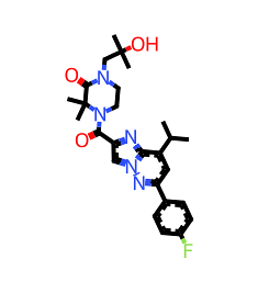 CC(C)c1cc(-c2ccc(F)cc2)nn2cc(C(=O)N3CCN(CC(C)(C)O)C(=O)C3(C)C)nc12